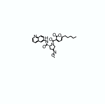 CCCCCc1ccc(C(=O)N2CC(=NOC)C[C@H]2C(=O)Nc2ccc3ncccc3c2)c(=O)o1